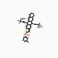 COC(C)(C)C#Cc1c2cc3ccccc3cc2c(C#CC(C)(C)OC)c2cc3sc(S(=O)(=O)c4cccc(C)c4)cc3cc12